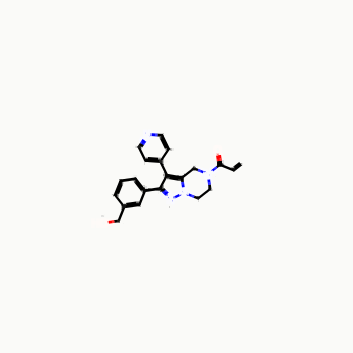 C=CC(=O)N1CCn2nc(-c3cccc(CO)c3)c(-c3ccncc3)c2C1